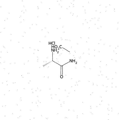 CC(=O)O.C[C@H](N)C(N)=O.Cl